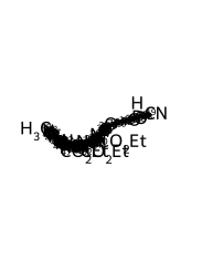 CCOC(=O)n1c(-c2ccc(OCCCCCCOPOCCC#N)cc2)nc2cc(-c3nc4cc(-c5nc6cc(N7CCN(C)CC7)ccc6n5C(=O)OCC)ccc4n3C(=O)OCC)ccc21